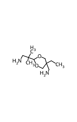 CCC1(CN)COC(C(C)(C)CN)OC1